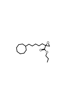 CCCOC(=O)C1(CCCCCC2CCCCCCC2)CO1